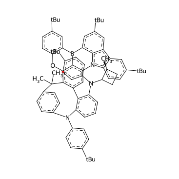 C[C@H]1CCC1N(c1ccc(C(C)(C)C)cc1)c1cccc2c1-c1cc3c4c(c1C(C)(C)c1ccc(cc1)N2c1ccc(C(C)(C)C)cc1)Oc1ccc(C(C)(C)C)cc1B4c1cc(C(C)(C)C)cc2c4cc(C(C)(C)C)ccc4n-3c12